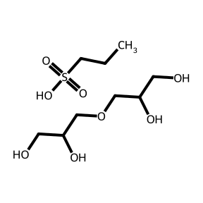 CCCS(=O)(=O)O.OCC(O)COCC(O)CO